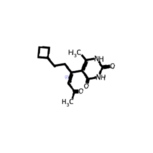 CC(=O)/C=C(/CCC1CCC1)c1c(C)[nH]c(=O)[nH]c1=O